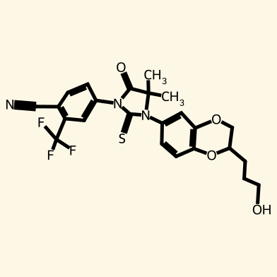 CC1(C)C(=O)N(c2ccc(C#N)c(C(F)(F)F)c2)C(=S)N1c1ccc2c(c1)OCC(CCCO)O2